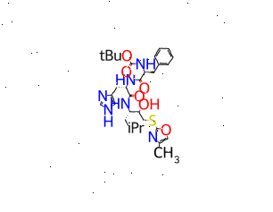 Cc1coc(SCC(O)[C@H](CC(C)C)NC(=O)[C@H](Cc2c[nH]cn2)NC(=O)[C@H](Cc2ccccc2)NC(=O)OC(C)(C)C)n1